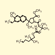 C=CCCC(C)(C)COC(=O)N[C@H](C(=O)N1CC(OC)(c2ccc3cc(OC)c(C=C)cc3c2)CC1C(=O)OC)C(C)(C)C